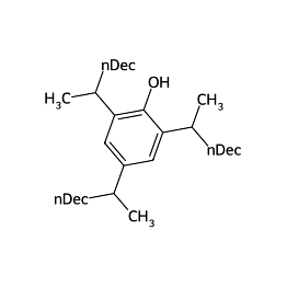 CCCCCCCCCCC(C)c1cc(C(C)CCCCCCCCCC)c(O)c(C(C)CCCCCCCCCC)c1